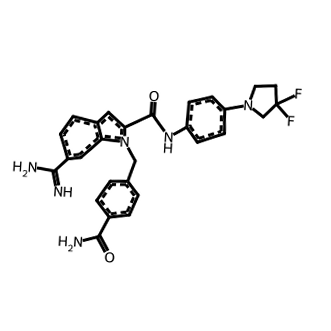 N=C(N)c1ccc2cc(C(=O)Nc3ccc(N4CCC(F)(F)C4)cc3)n(Cc3ccc(C(N)=O)cc3)c2c1